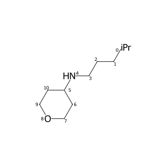 CC(C)CCCNC1CCOCC1